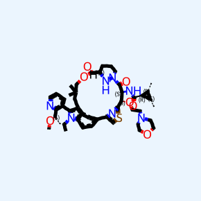 CCn1c(-c2cccnc2[C@H](C)OC)c2c3cc(ccc31)-c1csc(n1)[C@@H](OCCN1CCOCC1)[C@H](NC(=O)[C@H]1[C@H](C)[C@@H]1C)C(=O)N1CCC[C@H](N1)C(=O)OCC(C)(C)C2